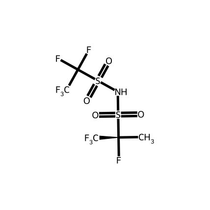 C[C@@](F)(C(F)(F)F)S(=O)(=O)NS(=O)(=O)C(F)(F)C(F)(F)F